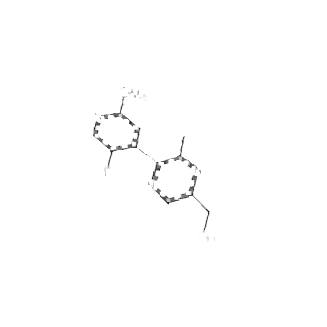 COc1cc(-c2ncc(CO)nc2C)c(F)cn1